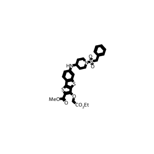 CCOC(=O)COc1c(C(=O)OC)sc2c1sc1cc(NC3CCN(S(=O)(=O)Cc4ccccc4)CC3)ccc12